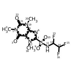 Cn1c(=O)c2c(nc(S(=O)(=O)NC(F)C(F)F)n2C)n(C)c1=O